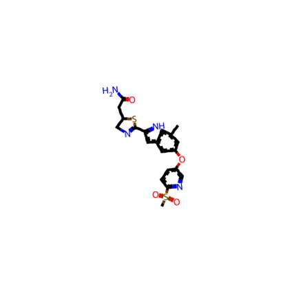 Cc1cc(Oc2ccc(S(C)(=O)=O)nc2)cc2cc(C3=NCC(CC(N)=O)S3)[nH]c12